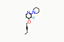 CCC#CCOc1ccnc(N2CCCCC2)c1F